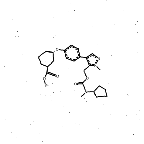 CC(C)OC(=O)[C@H]1CCC[C@H](Oc2ccc(-c3cnn(C)c3COC(=O)N(C)C3CCCC3)cc2)C1